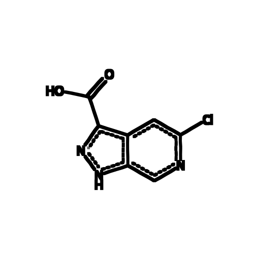 O=C(O)c1n[nH]c2cnc(Cl)cc12